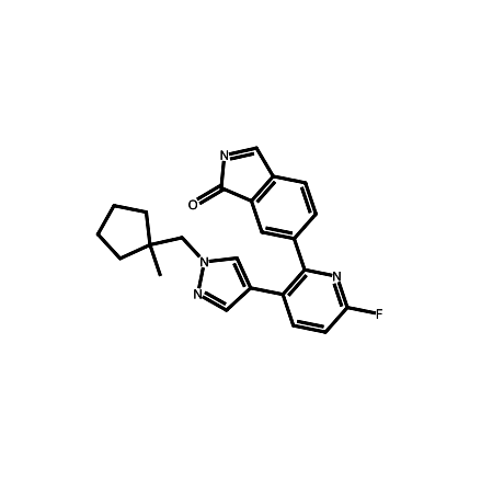 CC1(Cn2cc(-c3ccc(F)nc3-c3ccc4c(c3)C(=O)N=C4)cn2)CCCC1